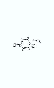 O=[C]C1(Cl)C=CC(Cl)=CC1